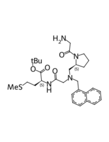 CSCC[C@H](NC(=O)CN(Cc1cccc2ccccc12)C[C@@H]1CCCN1C(=O)CN)C(=O)OC(C)(C)C